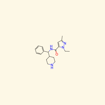 CCn1nc(C)cc1C(=O)NC(c1ccccc1)C1CCNCC1